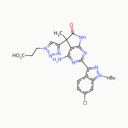 CCCCn1nc(-c2nc(N)c3c(n2)NC(=O)C3(C)c2cn(CCC(=O)O)nn2)c2ccc(Cl)cc21